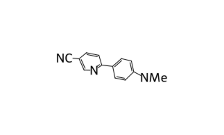 CNc1ccc(-c2ccc(C#N)cn2)cc1